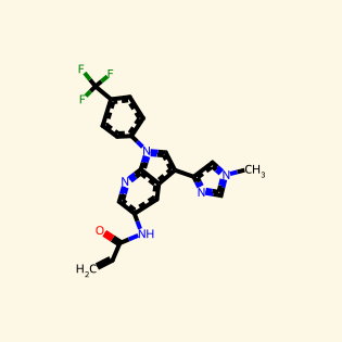 C=CC(=O)Nc1cnc2c(c1)c(-c1cn(C)cn1)cn2-c1ccc(C(F)(F)F)cc1